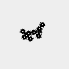 c1ccc(-c2ccc3c(c2)nc(-c2ccccc2)n3-c2ccc(-c3ccc4c(-c5ccccc5)c5ccccc5c(-c5ccccc5)c4c3)cc2)cc1